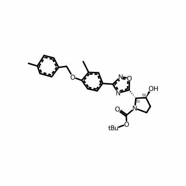 Cc1ccc(COc2ccc(-c3noc([C@@H]4[C@@H](O)CCN4C(=O)OC(C)(C)C)n3)cc2C)cc1